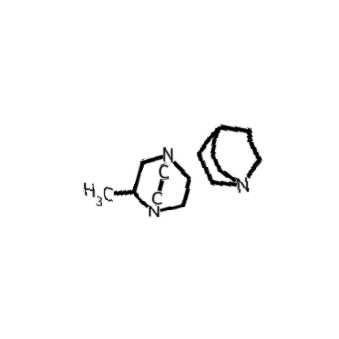 C1CN2CCC1CC2.CC1CN2CCN1CC2